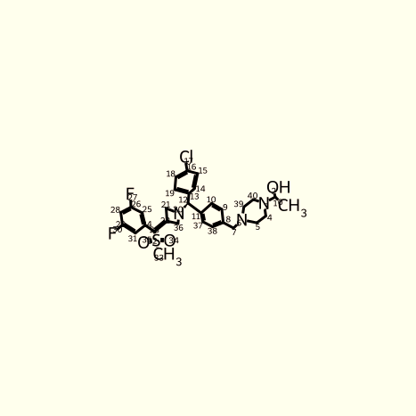 CC(O)N1CCN(Cc2ccc([C@H](c3ccc(Cl)cc3)N3CC(=C(c4cc(F)cc(F)c4)S(C)(=O)=O)C3)cc2)CC1